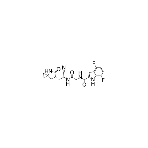 N#C[C@H](C[C@@H]1CC2(CC2)NC1=O)NC(=O)CNC(=O)c1cc2c(F)ccc(F)c2[nH]1